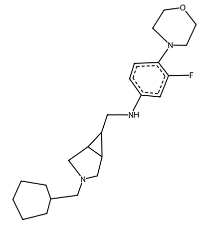 Fc1cc(NCC2C3CN(CC4CCCCC4)CC23)ccc1N1CCOCC1